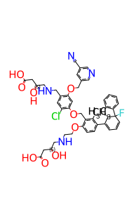 Cc1c(C2=CC=CC(F)(c3ccccc3)C2C)ccc(OCCNC[C@@H](O)CC(=O)O)c1COc1cc(OCc2cncc(C#N)c2)c(CNC[C@@H](O)CC(=O)O)cc1Cl